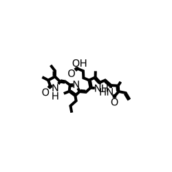 C=CC1=C(C)/C(=C/c2[nH]c(/C=C3N=C(/C=C4\NC(=O)C(C)\C4=C/C)C(C)=C\3CCC)c(CCC(=O)O)c2C)NC1=O